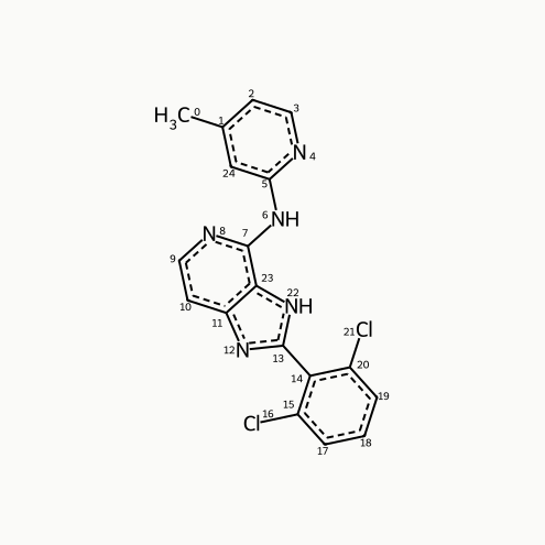 Cc1ccnc(Nc2nccc3nc(-c4c(Cl)cccc4Cl)[nH]c23)c1